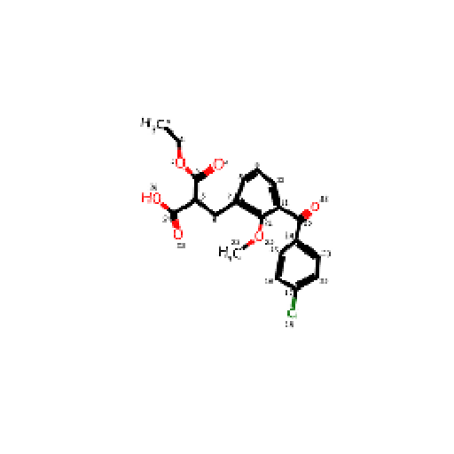 CCOC(=O)C(Cc1cccc(C(=O)c2ccc(Cl)cc2)c1OC)C(=O)O